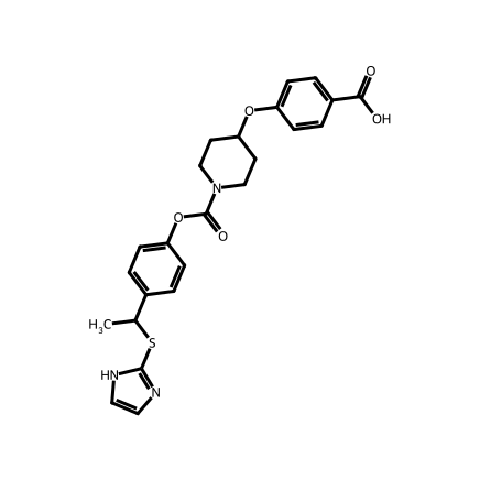 CC(Sc1ncc[nH]1)c1ccc(OC(=O)N2CCC(Oc3ccc(C(=O)O)cc3)CC2)cc1